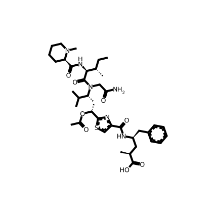 CC[C@H](C)[C@H](NC(=O)[C@H]1CCCCN1C)C(=O)N(CC(N)=O)[C@H](C[C@@H](OC(C)=O)c1nc(C(=O)N[C@@H](Cc2ccccc2)C[C@H](C)C(=O)O)cs1)C(C)C